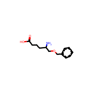 NC(CCCC(=O)O)COCc1ccccc1